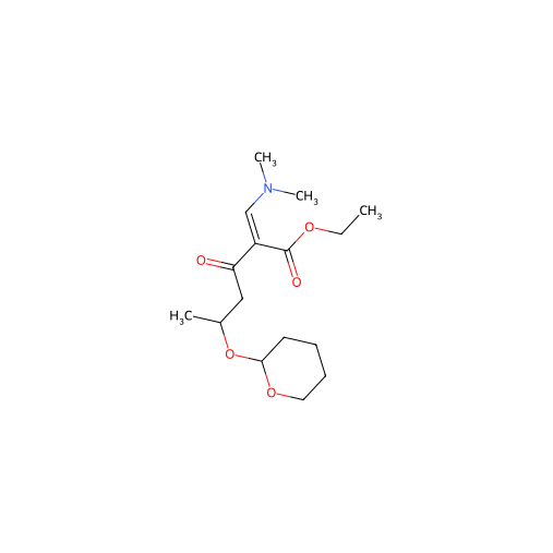 CCOC(=O)/C(=C\N(C)C)C(=O)CC(C)OC1CCCCO1